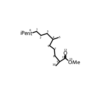 CCCC(C)CCCC(C)CCCC(C)C(=O)OC